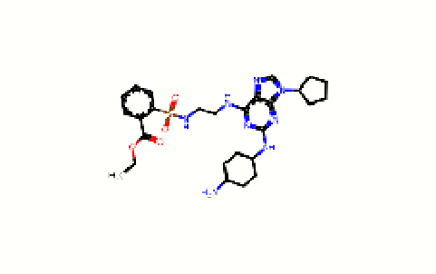 CCOC(=O)c1ccccc1S(=O)(=O)NCCNc1nc(NC2CCC(N)CC2)nc2c1ncn2C1CCCC1